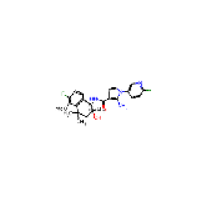 COc1c(F)ccc2c1C(C)(C)C[C@](O)(C(F)(F)F)[C@H]2NC(=O)c1ccn(-c2ccc(F)nc2)c1N